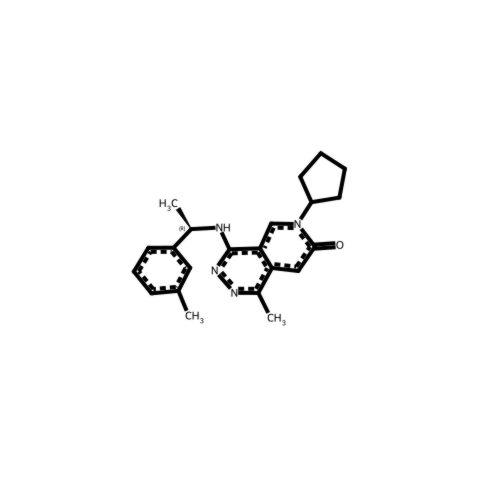 Cc1cccc([C@@H](C)Nc2nnc(C)c3cc(=O)n(C4CCCC4)cc23)c1